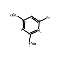 CSc1cc(OCC(C)C)cc(Br)n1